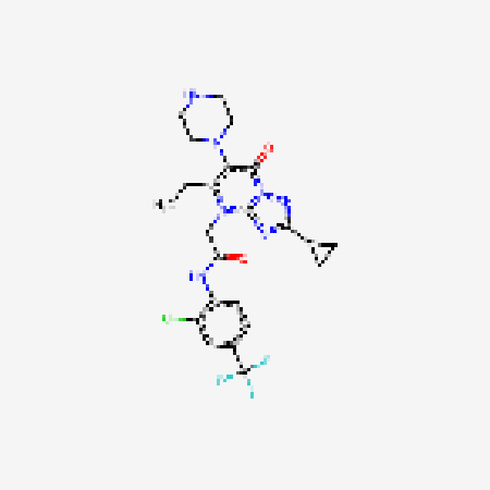 CCc1c(N2CCNCC2)c(=O)n2nc(C3CC3)nc2n1CC(=O)Nc1ccc(C(F)(F)F)cc1Cl